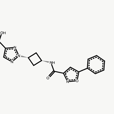 O=C(N[C@H]1C[C@@H](n2ncc(CO)n2)C1)c1cc(-c2ccccc2)on1